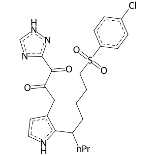 CCCC(CCCCS(=O)(=O)c1ccc(Cl)cc1)c1[nH]ccc1CC(=O)C(=O)c1nc[nH]n1